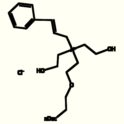 CCCCCCCCCCCCOCC[N+](CC=Cc1ccccc1)(CCO)CCO.[Cl-]